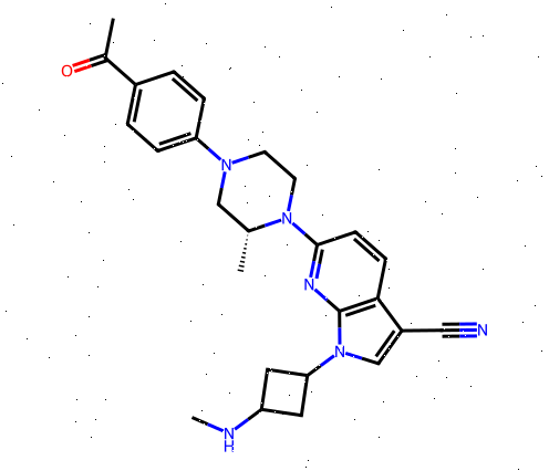 CNC1CC(n2cc(C#N)c3ccc(N4CCN(c5ccc(C(C)=O)cc5)C[C@H]4C)nc32)C1